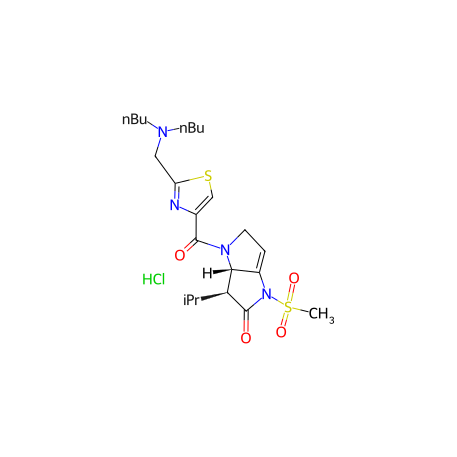 CCCCN(CCCC)Cc1nc(C(=O)N2CC=C3[C@@H]2[C@H](C(C)C)C(=O)N3S(C)(=O)=O)cs1.Cl